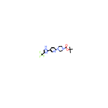 CC(C)(C)OC(=O)N1CCN(c2ccc(-c3nc(C(F)(F)F)c[nH]3)cn2)CC1